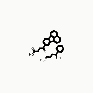 CCCCC(O)c1ccccc1.O=C(O)CCC(=O)c1ccc2c(c1)-c1cccc3cccc-2c13